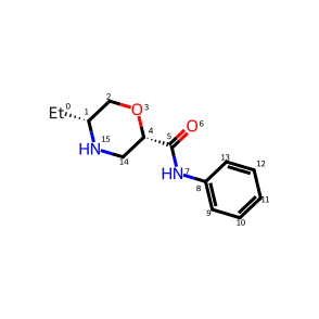 CC[C@@H]1CO[C@H](C(=O)Nc2ccccc2)CN1